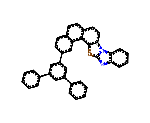 c1ccc(-c2cc(-c3ccccc3)cc(-c3ccc4ccc5ccc6c(sc7nc8ccccc8n76)c5c4c3)c2)cc1